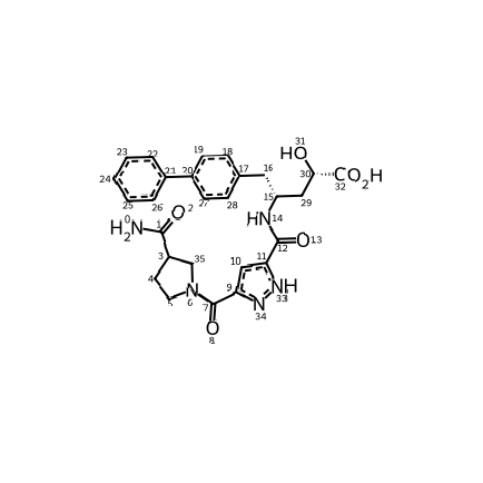 NC(=O)C1CCN(C(=O)c2cc(C(=O)N[C@H](Cc3ccc(-c4ccccc4)cc3)C[C@H](O)C(=O)O)[nH]n2)C1